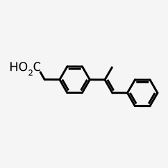 C/C(=C\c1ccccc1)c1ccc(CC(=O)O)cc1